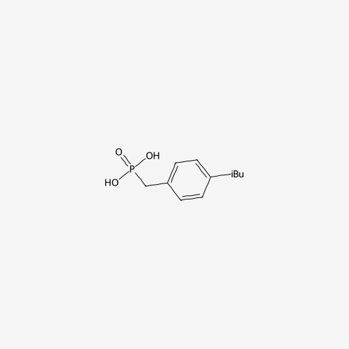 CCC(C)c1ccc(CP(=O)(O)O)cc1